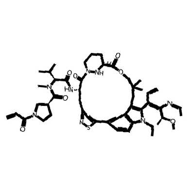 C=CC(=O)N1CC[C@H](C(=O)N(C)[C@H](C(=O)N[C@H]2Cc3cc(sn3)-c3ccc4c(c3)c(c(/C(C=C)=C(/N=C\C)[C@H](C)OC)n4CC)CC(C)(C)COC(=O)[C@@H]3CCCN(N3)C2=O)C(C)C)C1